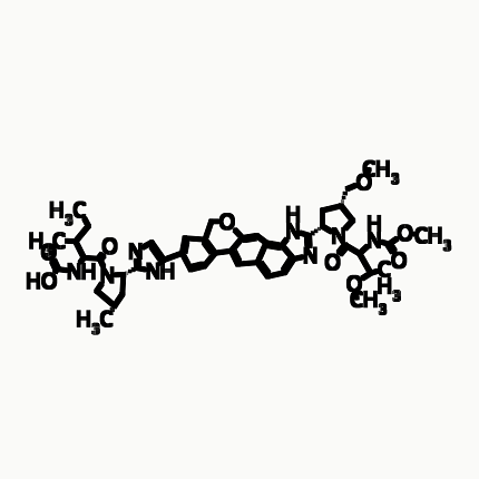 CCC(C)C(NC(=O)O)C(=O)N1C[C@@H](C)C[C@H]1c1ncc(-c2ccc3c(c2)COc2cc4c(ccc5nc([C@@H]6C[C@H](COC)CN6C(=O)C(NC(=O)OC)C(C)OC)[nH]c54)cc2-3)[nH]1